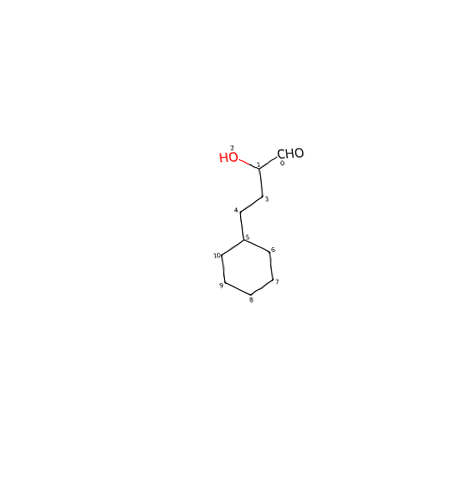 O=CC(O)CCC1CCCCC1